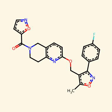 Cc1onc(-c2ccc(F)cc2)c1COc1ccc2c(n1)CCN(C(=O)c1ccno1)C2